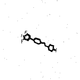 Fc1cc(C2CCC(CCC3CCC(I)CC3)CC2)cc(F)c1F